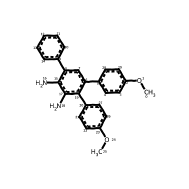 COc1ccc(-c2cc(-c3ccccc3)c(N)c(N)c2-c2ccc(OC)cc2)cc1